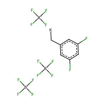 F[B-](F)(F)F.F[B-](F)(F)F.F[B-](F)(F)F.Fc1cc(F)cc([CH2][K])c1